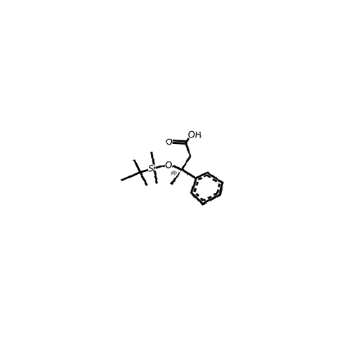 CC(C)(C)[Si](C)(C)O[C@](C)(CC(=O)O)c1ccccc1